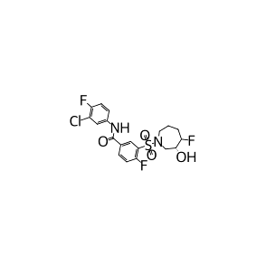 O=C(Nc1ccc(F)c(Cl)c1)c1ccc(F)c(S(=O)(=O)N2CCCC(F)[C@H](O)C2)c1